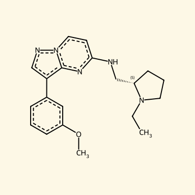 CCN1CCC[C@H]1CNc1ccn2ncc(-c3cccc(OC)c3)c2n1